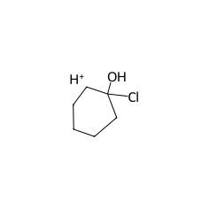 OC1(Cl)CCCCC1.[H+]